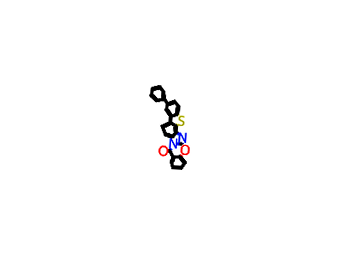 O=c1c2ccccc2oc2nc3c4sc5ccc(-c6ccccc6)cc5c4ccc3n12